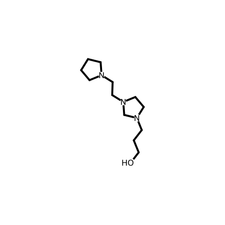 OCCCN1CCN(CCN2CCCC2)C1